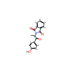 COc1ccc(C(=O)C(C)N2C(=O)c3ccccc3C2=O)cc1